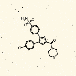 NS(=O)(=O)c1ccc(-n2nc(C(=O)N3CCSCC3)cc2-c2ccc(Cl)cc2)cc1